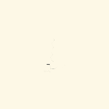 CNC(CC(=O)O)C(=O)NCCOCCCO